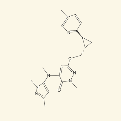 Cc1ccc([C@H]2C[C@@H]2COc2cc(N(C)c3cc(C)nn3C)c(=O)n(C)n2)nc1